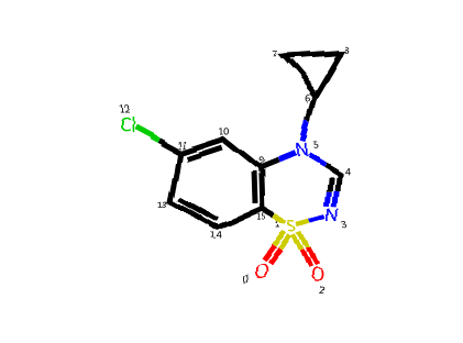 O=S1(=O)N=CN(C2CC2)c2cc(Cl)ccc21